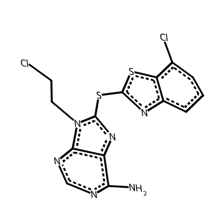 Nc1ncnc2c1nc(Sc1nc3cccc(Cl)c3s1)n2CCCl